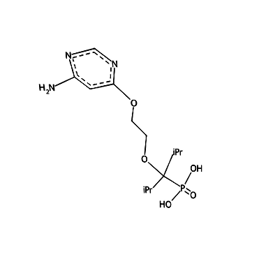 CC(C)C(OCCOc1cc(N)ncn1)(C(C)C)P(=O)(O)O